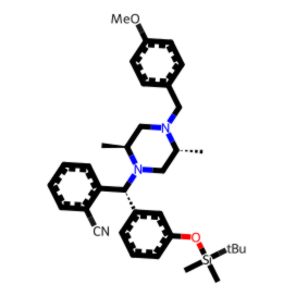 COc1ccc(CN2C[C@H](C)N([C@H](c3cccc(O[Si](C)(C)C(C)(C)C)c3)c3ccccc3C#N)C[C@H]2C)cc1